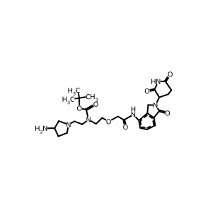 CC(C)(C)OC(=O)N(CCOCC(=O)Nc1cccc2c1CN(C1CCC(=O)NC1=O)C2=O)CCN1CCC(N)C1